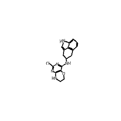 Clc1nc2c(c(NC3Cc4cccc5[nH]cc(c45)C3)n1)OCCN2